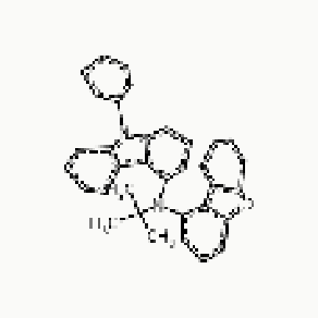 CC(C)(C)N(c1cccc2oc3ccccc3c12)c1cccc2c1c1ccccc1n2-c1ccccc1